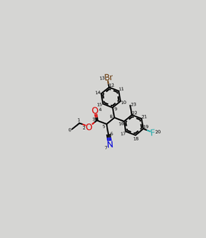 CCOC(=O)C(C#N)C(c1ccc(Br)cc1)c1ccc(F)cc1C